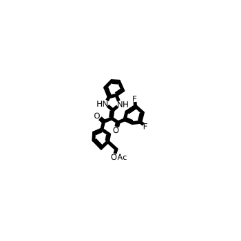 CC(=O)OCc1cccc(C(=O)C(C(=O)c2cc(F)cc(F)c2)=C2Nc3ccccc3N2)c1